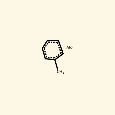 Cc1ccccc1.[Mo]